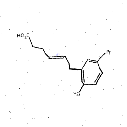 CC(C)c1ccc(O)c(C/C=C/CCC(=O)O)c1